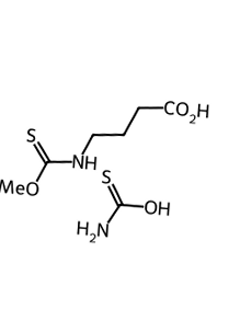 COC(=S)NCCCC(=O)O.NC(O)=S